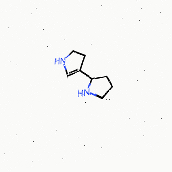 [C]1=C(C2CCCN2)CCN1